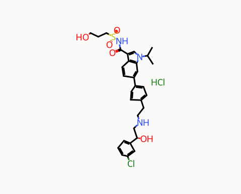 CC(C)n1cc(C(=O)NS(=O)(=O)CCCO)c2ccc(-c3ccc(CCNC[C@@H](O)c4cccc(Cl)c4)cc3)cc21.Cl